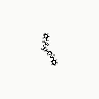 Cc1nc(-c2ccn(C[C@H](C)c3ccccc3)n2)sc1OC(=O)NCc1cccnc1